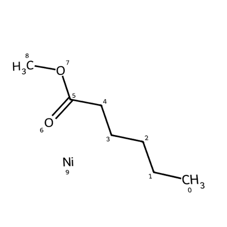 CCCCCC(=O)OC.[Ni]